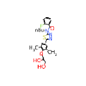 CCCCN(C(=O)c1ccccc1F)c1nnc(-c2cc(C)c(OC[C@H](O)CO)c(C)c2)s1